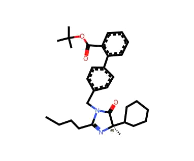 CCCCC1=N[C@](C)(C2CCCCC2)C(=O)N1Cc1ccc(-c2ccccc2C(=O)OC(C)(C)C)cc1